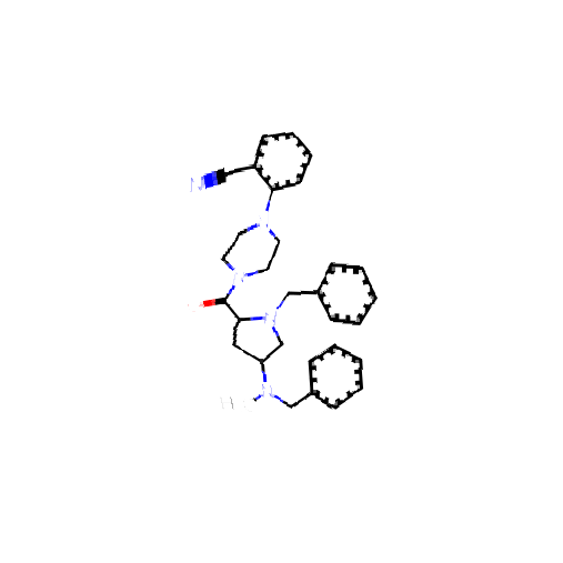 CN(Cc1ccccc1)C1CC(C(=O)N2CCN(c3ccccc3C#N)CC2)N(Cc2ccccc2)C1